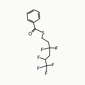 O=C(SCCC(F)(F)CC(F)C(F)(F)F)c1ccccc1